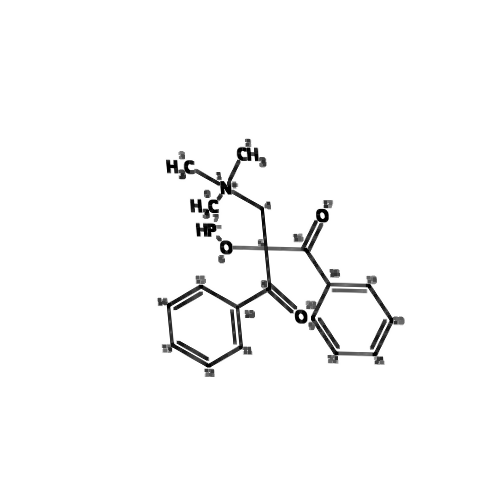 C[N+](C)(C)CC(O[PH-])(C(=O)c1ccccc1)C(=O)c1ccccc1